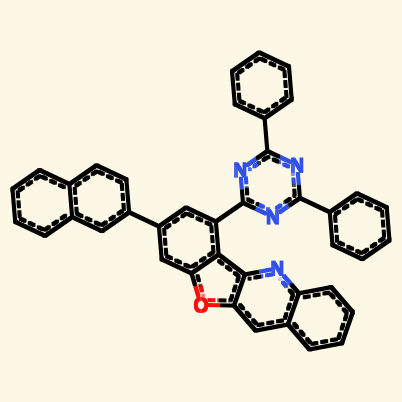 c1ccc(-c2nc(-c3ccccc3)nc(-c3cc(-c4ccc5ccccc5c4)cc4oc5cc6ccccc6nc5c34)n2)cc1